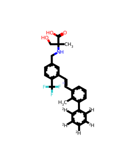 [2H]c1c([2H])c([2H])c(-c2cccc(/C=C/c3cc(CNC(C)(CO)C(=O)O)ccc3C(F)(F)F)c2C)c([2H])c1[2H]